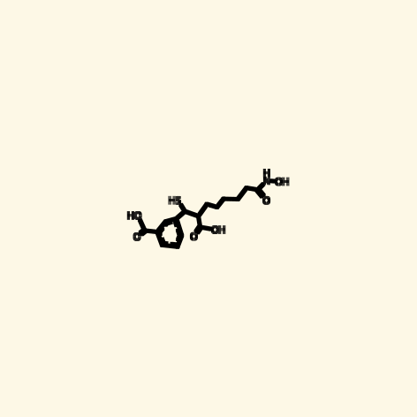 O=C(CCCCCC(C(=O)O)C(S)c1cccc(C(=O)O)c1)NO